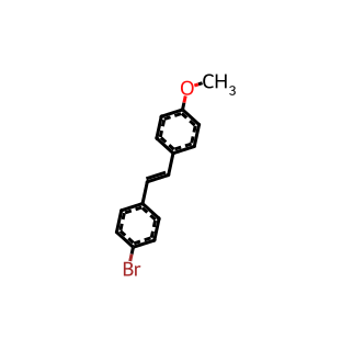 COc1ccc(C=Cc2ccc(Br)cc2)cc1